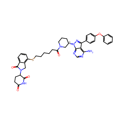 Nc1ncnc2c1c(-c1ccc(Oc3ccccc3)cc1)nn2[C@@H]1CCCN(C(=O)CCCCCSc2cccc3c2CN(C2CCC(=O)NC2=O)C3=O)C1